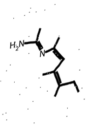 CC\C(C)=C(C)/C=C(C)\N=C(/C)N